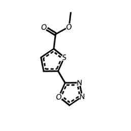 COC(=O)c1ccc(-c2nnco2)s1